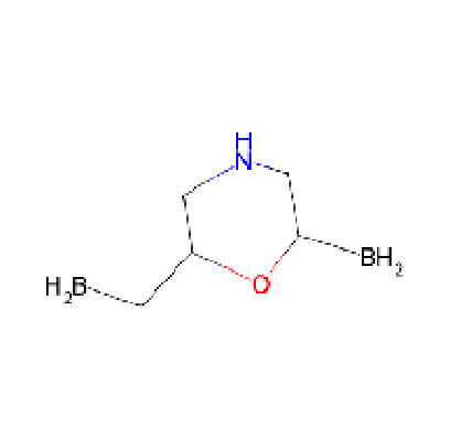 BCC1CNCC(B)O1